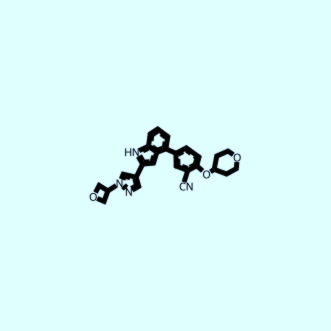 N#Cc1cc(-c2cccc3[nH]c(-c4cnn(C5COC5)c4)cc23)ccc1OC1CCOCC1